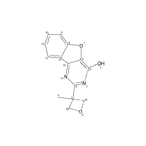 CC1(c2nc(O)c3oc4ccccc4c3n2)COC1